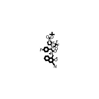 COc1c(C#N)cc2ccccc2c1CN(C)C(=O)C(c1ccc(F)cc1)N(C(=O)C(F)(F)F)C1CCN(C(=O)OC(C)(C)C)C1